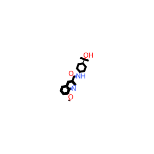 COc1cccc2cc(C(=O)N[C@H]3CC[C@H](C(C)(C)O)CC3)cnc12